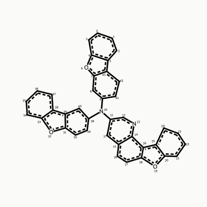 c1ccc2c(c1)oc1cc(N(c3cnc4c(ccc5oc6ccccc6c54)c3)c3ccc4oc5ccccc5c4c3)ccc12